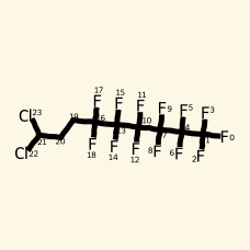 FC(F)(F)C(F)(F)C(F)(F)C(F)(F)C(F)(F)C(F)(F)CCC(Cl)Cl